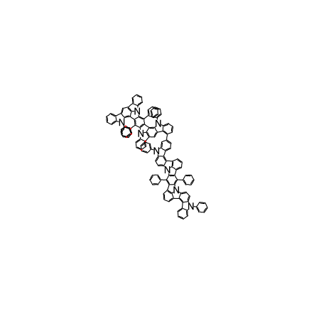 c1ccc(-c2c3c4cccc5c6c7c8ccc(-c9cccc%10c9c9cc%11c%12ccccc%12n%12c%13c(-c%14ccccc%14)c%14c%15c%16c(cc%17c%18ccccc%18n(c%14c(-c%14ccccc%14)c%13c(c9n%10-c9ccccc9)c%11%12)c%17%15)c9ccccc9n%16-c9ccccc9)cc8n(-c8ccccc8)c7ccc6n(c3c(-c3ccccc3)c3c6cccc7c8c9c%10ccccc%10n(-c%10ccccc%10)c9ccc8n(c23)c67)c45)cc1